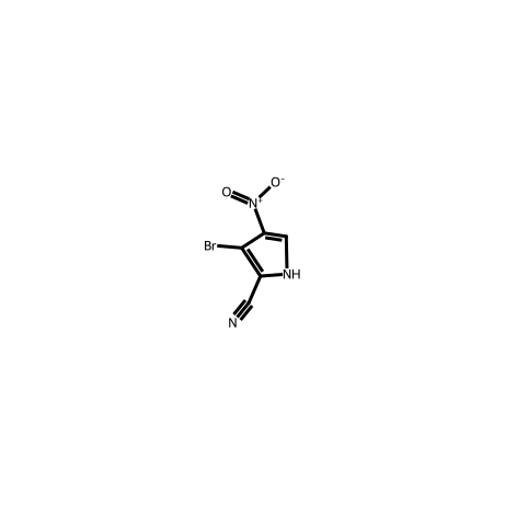 N#Cc1[nH]cc([N+](=O)[O-])c1Br